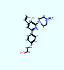 CCN1CCN(c2nc(-c3ccc(OCCO)cc3)cc3ccsc23)CC1